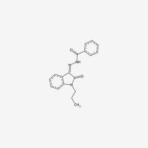 CCCN1C(=O)C(=NNC(=O)c2ccccc2)c2ccccc21